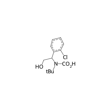 CC(C)(C)N(C(=O)O)C(CO)c1ccccc1Cl